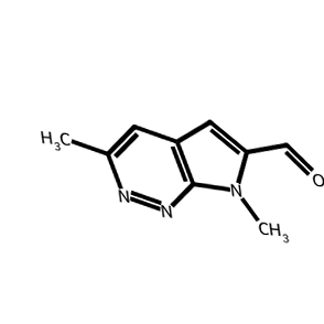 Cc1cc2cc(C=O)n(C)c2nn1